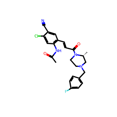 CC(=O)Nc1cc(Cl)c(C#N)cc1/C=C/C(=O)N1CCN(Cc2ccc(F)cc2)C[C@H]1C